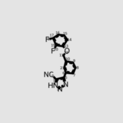 N#Cc1[nH]nnc1-c1cccc(COc2cccc(F)c2F)c1